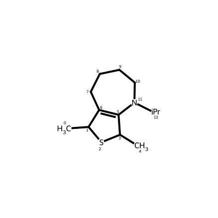 CC1SC(C)C2=C1CCCCN2C(C)C